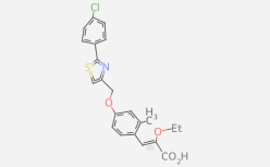 CCO/C(=C\c1ccc(OCc2csc(-c3ccc(Cl)cc3)n2)cc1C)C(=O)O